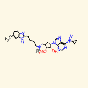 CC(C)N(CCCCc1nc2ccc(C(F)(F)F)cc2[nH]1)C[C@H]1C[C@@H](n2cnc3c(NC4CC4)ncnc32)[C@H](O)[C@@H]1O